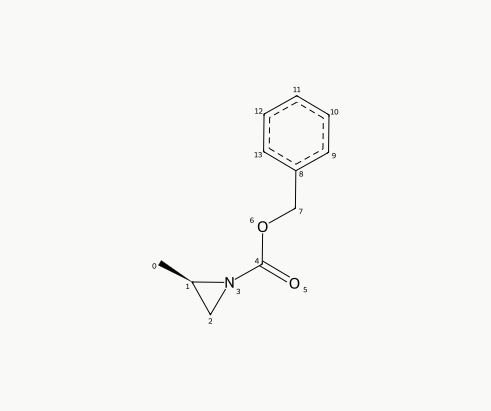 C[C@@H]1CN1C(=O)OCc1ccccc1